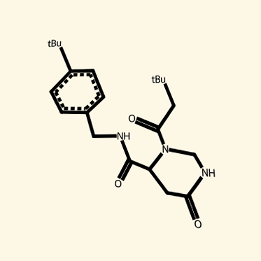 CC(C)(C)CC(=O)N1CNC(=O)CC1C(=O)NCc1ccc(C(C)(C)C)cc1